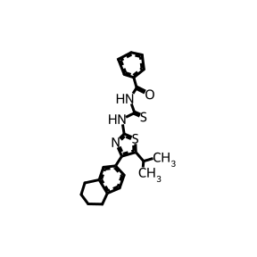 CC(C)c1sc(NC(=S)NC(=O)c2ccccc2)nc1-c1ccc2c(c1)CCCC2